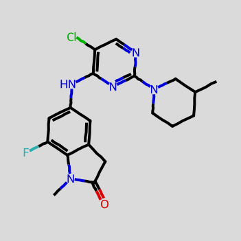 CC1CCCN(c2ncc(Cl)c(Nc3cc(F)c4c(c3)CC(=O)N4C)n2)C1